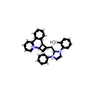 Cc1ccccc1N1C=CN(c2ccccc2)C1CC1=CC2C1c1ccccc1-c1cccc[n+]12